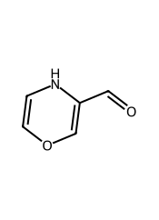 O=CC1=COC=CN1